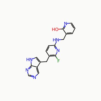 Oc1ncccc1CNc1ccc(Cc2c[nH]c3ncncc23)c(F)n1